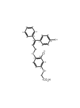 O=C(O)COc1ccc(SCC=C(c2ccccc2)c2ccc(I)cc2)c(Cl)c1